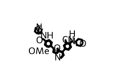 COc1cc(C(=O)NC2CN3CCC2CC3)ccc1-c1cc2nccc(-c3ccc(NC4CCOCC4)c(C#N)c3)c2o1